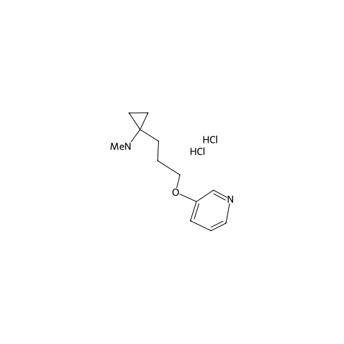 CNC1(CCCOc2cccnc2)CC1.Cl.Cl